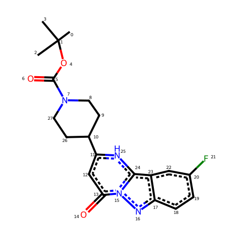 CC(C)(C)OC(=O)N1CCC(c2cc(=O)n3nc4ccc(F)cc4c3[nH]2)CC1